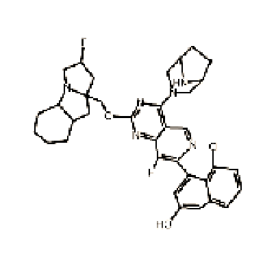 Oc1cc(-c2ncc3c(N4CC5CCC(C4)N5)nc(OCC45CC(F)CN4C4CCCCC4C5)nc3c2F)c2c(Cl)cccc2c1